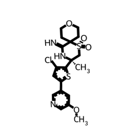 COc1cncc(-c2cc(Cl)c([C@]3(C)CS(=O)(=O)C4(CCOCC4)C(=N)N3)s2)c1